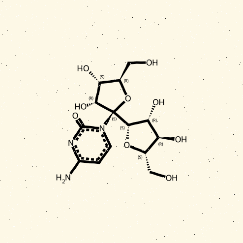 Nc1ccn([C@]2([C@H]3O[C@@H](CO)[C@H](O)[C@H]3O)O[C@H](CO)[C@@H](O)[C@H]2O)c(=O)n1